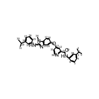 CC(C)c1cccc(NC(=O)c2cc(Oc3ccc4c(c3)nc(Nc3cccc(C(C)C)c3)n4C)ccn2)c1